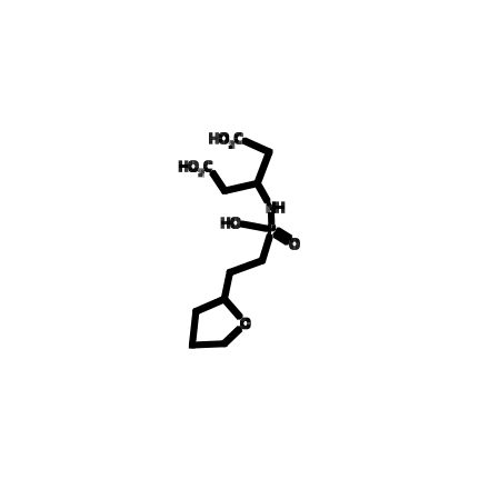 O=C(O)CC(CC(=O)O)NP(=O)(O)CCC1CCCO1